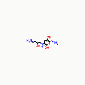 NCCC(O)CN[C@@H]1C[C@H](O)[C@@H](CN)O[C@@H]1O